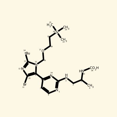 CC(CNc1nccc(-c2c(Br)nc(C(C)(C)C)n2COCC[Si](C)(C)C)n1)NC(=O)O